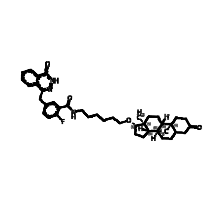 C[C@]12CC[C@H]3[C@@H](CCC4CC(=O)CC[C@@]43C)[C@@H]1CC[C@@H]2OCCCCCCNC(=O)c1cc(Cc2n[nH]c(=O)c3ccccc23)ccc1F